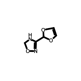 C1=COC(C2=NOCN2)O1